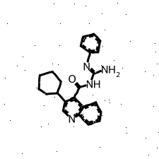 NC(=Nc1ccccc1)NC(=O)c1c(C2CCCCC2)cnc2ccccc12